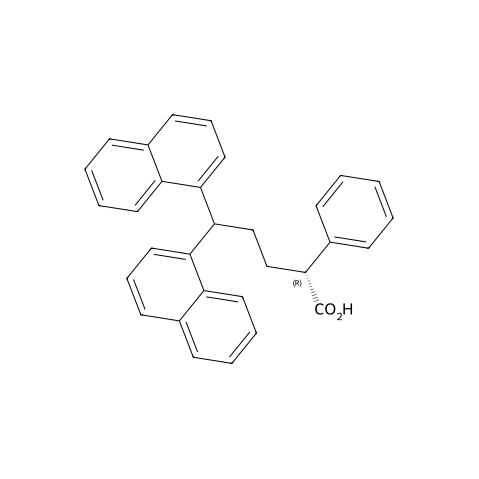 O=C(O)[C@H](CCC(c1cccc2ccccc12)c1cccc2ccccc12)c1ccccc1